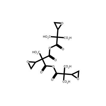 O=C(O)C(C(=O)O)(C(=O)OC(=O)C(C(=O)O)(C(=O)OC(=O)C(C(=O)O)(C(=O)O)C1CO1)C1CO1)C1CO1